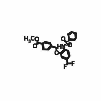 COC(=O)c1ccc(COc2cc(C(F)F)ccc2NS(=O)(=O)c2ccccc2)cc1